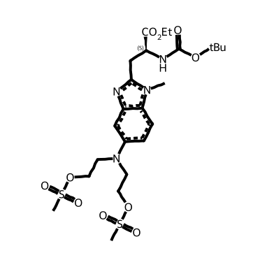 CCOC(=O)[C@H](Cc1nc2cc(N(CCOS(C)(=O)=O)CCOS(C)(=O)=O)ccc2n1C)NC(=O)OC(C)(C)C